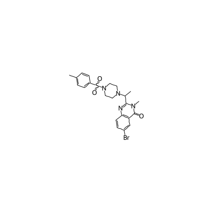 Cc1ccc(S(=O)(=O)N2CCN(C(C)c3nc4ccc(Br)cc4c(=O)n3C)CC2)cc1